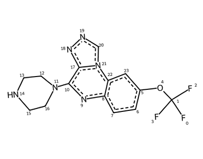 FC(F)(F)Oc1ccc2nc(N3CCNCC3)c3nncn3c2c1